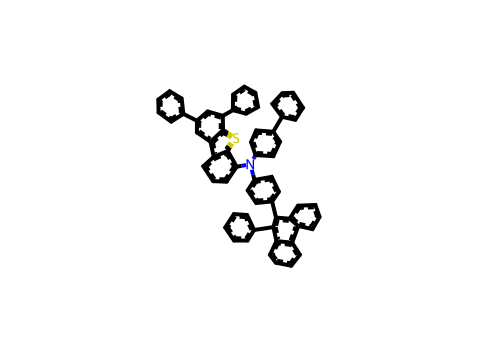 c1ccc(-c2ccc(N(c3ccc(-c4c(-c5ccccc5)c5ccccc5c5ccccc45)cc3)c3cccc4c3sc3c(-c5ccccc5)cc(-c5ccccc5)cc34)cc2)cc1